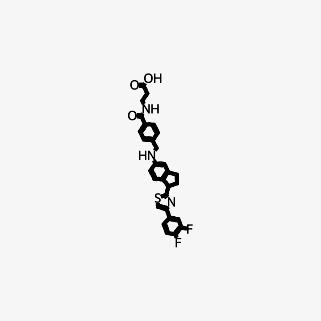 O=C(O)CCNC(=O)c1ccc(CNc2ccc3c(c2)CCC3c2nc(-c3ccc(F)c(F)c3)cs2)cc1